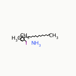 CCCCCCCCCCCCCCCCc1c(CI)ccc(C)c1C.N